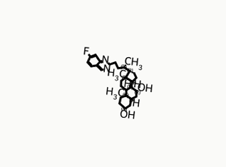 C[C@H](CCc1ncc2ccc(F)cc2n1)[C@H]1CC[C@H]2[C@H]3C(CC[C@]12C)[C@@]1(C)CC[C@@H](O)C[C@H]1C[C@H]3O